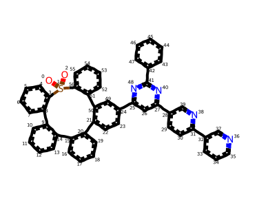 O=S1(=O)c2ccccc2-c2ccccc2-c2ccccc2-c2ccc(-c3cc(-c4ccc(-c5cccnc5)nc4)nc(-c4ccccc4)n3)cc2-c2ccccc21